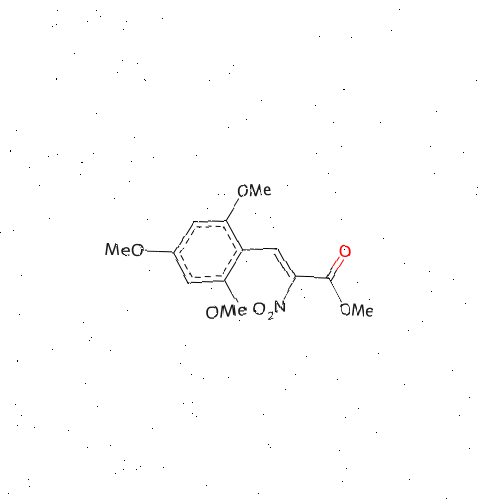 COC(=O)C(=Cc1c(OC)cc(OC)cc1OC)[N+](=O)[O-]